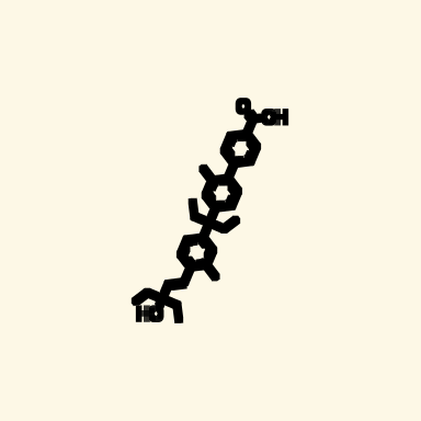 CCC(O)(/C=C/c1ccc(C(CC)(CC)c2ccc(-c3ccc(C(=O)O)cc3)c(C)c2)cc1C)CC